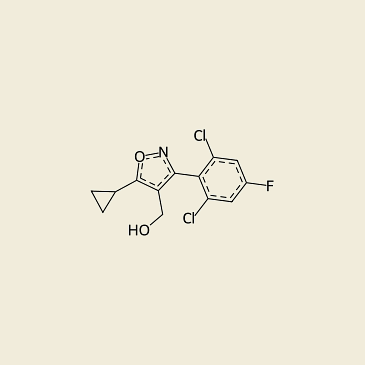 OCc1c(-c2c(Cl)cc(F)cc2Cl)noc1C1CC1